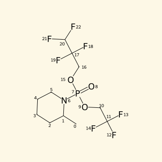 CC1CCCCN1P(=O)(OCC(F)(F)F)OCC(F)(F)C(F)F